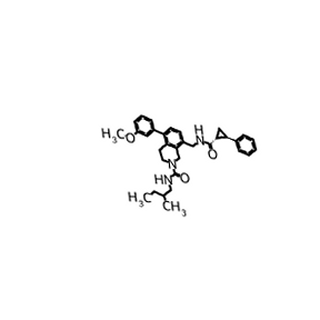 CCC(C)CNC(=O)N1CCc2c(-c3cccc(OC)c3)ccc(CNC(=O)[C@@H]3C[C@H]3c3ccccc3)c2C1